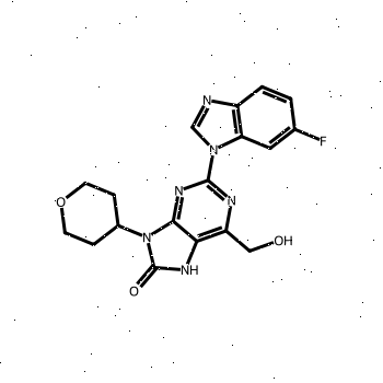 O=c1[nH]c2c(CO)nc(-n3cnc4ccc(F)cc43)nc2n1C1CCOCC1